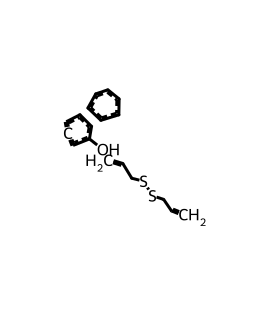 C=CCSSCC=C.Oc1ccccc1.c1ccccc1